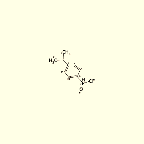 CC(C)c1ccc([PH](=O)Cl)cc1